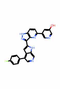 Oc1cncc(-c2ccc3[nH]nc(-c4cc5c(-c6ccc(F)cc6)cncc5[nH]4)c3n2)c1